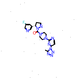 Cc1nnnn1-c1ccnc(N2CCN(C(=O)N3N=CC[C@H]3c3cncc(F)c3)CC2)n1